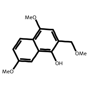 COCc1cc(OC)c2ccc(OC)cc2c1O